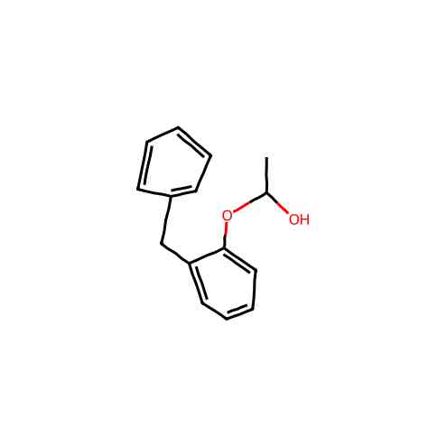 CC(O)Oc1ccccc1Cc1ccccc1